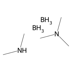 B.B.CN(C)C.CNC